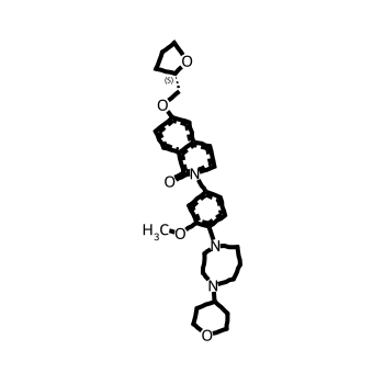 COc1cc(-n2ccc3cc(OC[C@@H]4CCCO4)ccc3c2=O)ccc1N1CCCN(C2CCOCC2)CC1